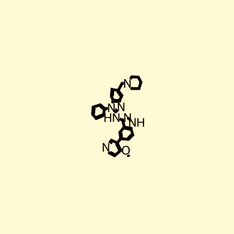 COc1ccncc1-c1ccc2[nH]nc(Nc3nc4cc(CN5CCCCC5)ccc4n3-c3ccccc3)c2c1